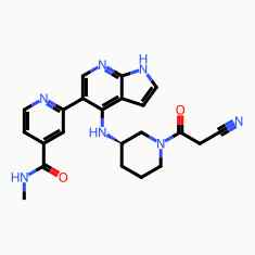 CNC(=O)c1ccnc(-c2cnc3[nH]ccc3c2N[C@@H]2CCCN(C(=O)CC#N)C2)c1